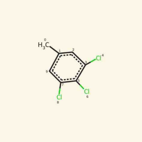 Cc1cc(Cl)c(Cl)c(Cl)c1